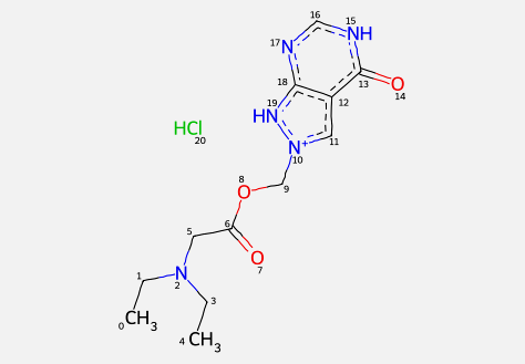 CCN(CC)CC(=O)OC[n+]1cc2c(=O)[nH]cnc2[nH]1.Cl